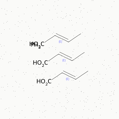 C/C=C/C(=O)O.C/C=C/C(=O)O.C/C=C/C(=O)O.P